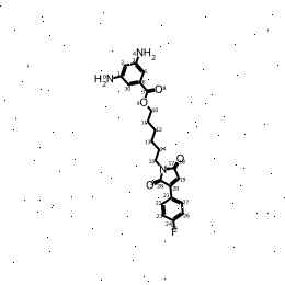 Nc1cc(N)cc(C(=O)OCCCCCCN2C(=O)C=C(c3ccc(F)cc3)C2=O)c1